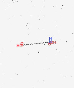 O=C(O)CCCCCCCCCCCCCCCCCCCCCCC(=O)NO